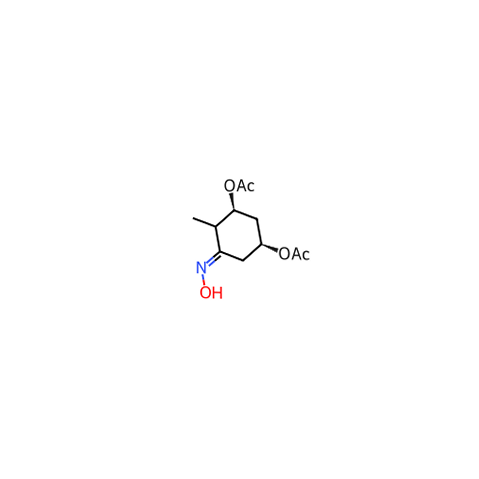 CC(=O)O[C@H]1C/C(=N\O)C(C)[C@@H](OC(C)=O)C1